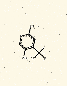 Cc1cc(C(F)(F)F)c(N)cn1